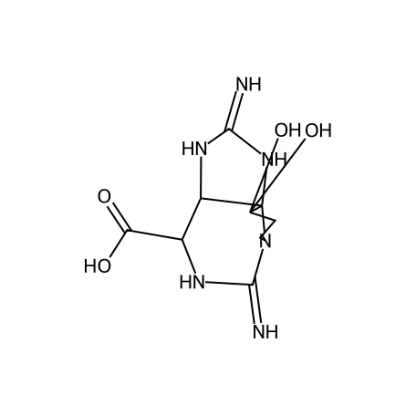 N=C1NC2C(C(=O)O)NC(=N)N3CCC(O)(O)C23N1